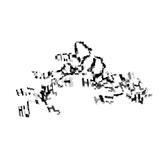 C[N+](C)(C)CCO.C[N+](C)(C)CCO.O=C([O-])c1ccccc1O.O=C([O-])c1ccccc1O.O=C([O-])c1ccccc1O.[CH2]C(=O)[O-].[CH2]C(=O)[O-].[CH2]C(=O)[O-].[Mg+2].[Mg+2]